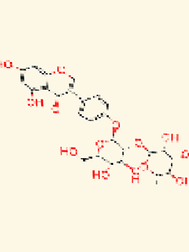 C[C@@H]1O[C@@H](O[C@H]2[C@H](Oc3ccc(-c4coc5cc(O)cc(O)c5c4=O)cc3)O[C@H](CO)[C@@H](O)[C@@H]2O)[C@H](O)[C@H](O)[C@H]1O